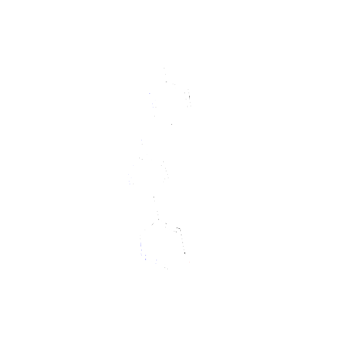 CCOC1(C(=O)O)C=NCC(c2ccc(Nc3cccc(C)n3)nc2)=C1